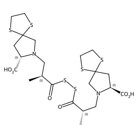 C[C@@H](CN1CC2(C[C@H]1C(=O)O)SCCS2)C(=O)SSC(=O)[C@@H](C)CN1CC2(C[C@H]1C(=O)O)SCCS2